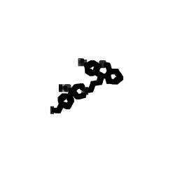 OC1(c2ccc(CI)cc2)CCN(CCC=C2c3ccccc3COc3cc(Br)ccc32)CC1